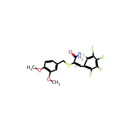 COc1ccc(CS/C(=C/c2c(F)c(F)c(F)c(F)c2F)C(N)=O)cc1OC